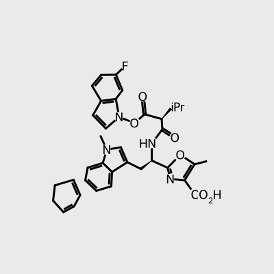 C1=CCCC=C1.Cc1oc([C@@H](Cc2cn(C)c3ccccc23)NC(=O)[C@@H](C(=O)On2ccc3ccc(F)cc32)C(C)C)nc1C(=O)O